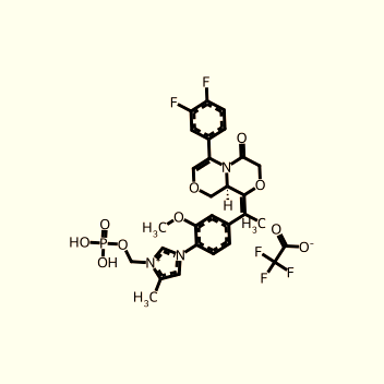 COc1cc(C(C)=C2OCC(=O)N3C(c4ccc(F)c(F)c4)=COC[C@H]23)ccc1-n1cc(C)[n+](COP(=O)(O)O)c1.O=C([O-])C(F)(F)F